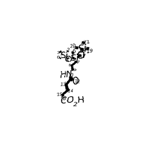 C[Si](C)(C)O[Si](C)(CCCNC(=O)CCCC(=O)O)O[Si](C)(C)C